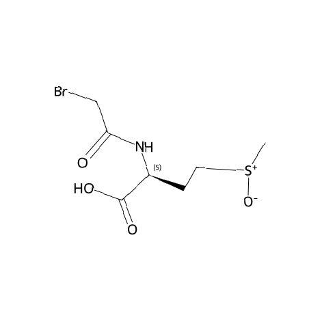 C[S+]([O-])CC[C@H](NC(=O)CBr)C(=O)O